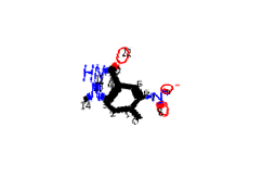 Cc1cc2c(cc1[N+](=O)[O-])c(=O)[nH]n2C